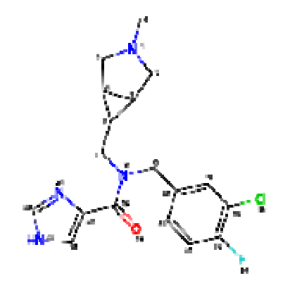 CN1CC2C(C1)C2CN(Cc1ccc(F)c(Cl)c1)C(=O)c1c[nH]cn1